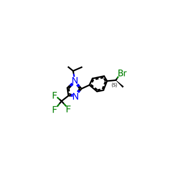 CC(C)n1cc(C(F)(F)F)nc1-c1ccc([C@H](C)Br)cc1